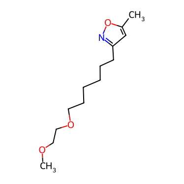 COCCOCCCCCCc1cc(C)on1